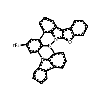 CC(C)(C)c1cc2c3c(c1)-n1c4ccccc4c4cccc(c41)B3n1c3oc4ccccc4c3c3cccc-2c31